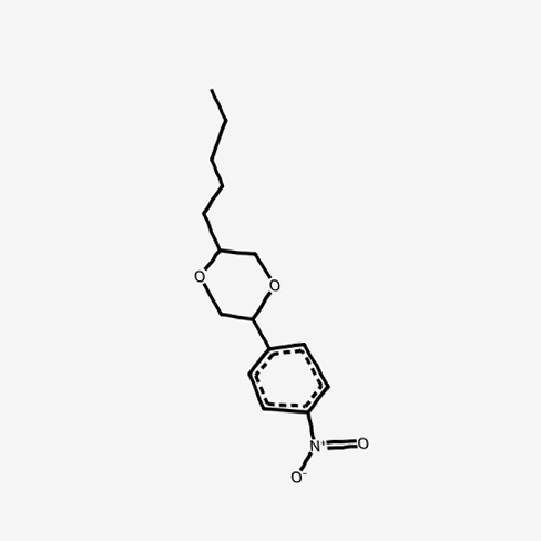 CCCCCC1COC(c2ccc([N+](=O)[O-])cc2)CO1